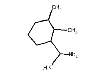 CC(N)C1CCCC(C)C1C